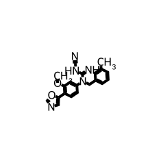 COc1cc(N(Cc2cccc(C)c2)C(=N)NC#N)ccc1-c1cnco1